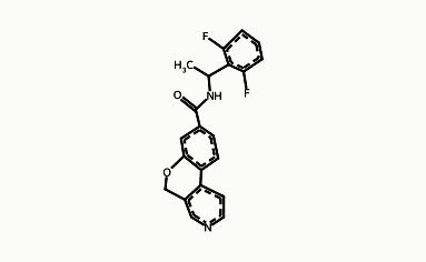 CC(NC(=O)c1ccc2c(c1)OCc1cnccc1-2)c1c(F)cccc1F